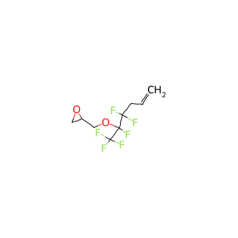 C=CCC(F)(F)C(F)(OCC1CO1)C(F)(F)F